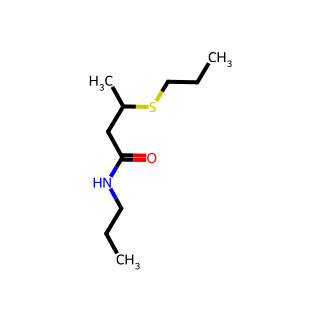 CCCNC(=O)CC(C)SCCC